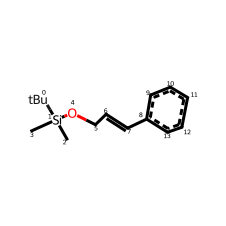 CC(C)(C)[Si](C)(C)OCC=Cc1ccccc1